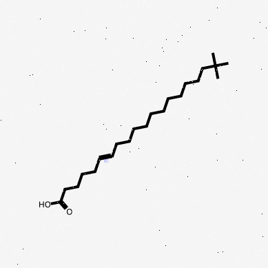 CC(C)(C)CCCCCCCCCCC/C=C/CCCCC(=O)O